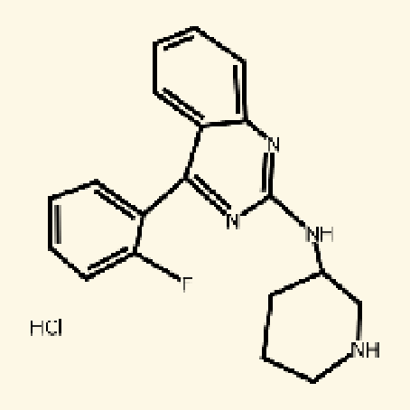 Cl.Fc1ccccc1-c1nc(NC2CCCNC2)nc2ccccc12